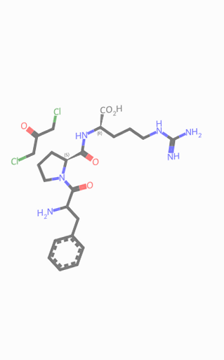 N=C(N)NCCC[C@@H](NC(=O)[C@@H]1CCCN1C(=O)C(N)Cc1ccccc1)C(=O)O.O=C(CCl)CCl